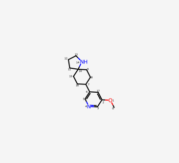 COc1cncc(C2CCC3(CCCN3)CC2)c1